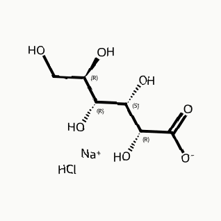 Cl.O=C([O-])[C@H](O)[C@@H](O)[C@H](O)[C@H](O)CO.[Na+]